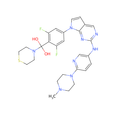 CN1CCN(c2ccc(Nc3ncc4ccn(-c5cc(F)c(C(O)(O)N6CCSCC6)c(F)c5)c4n3)cn2)CC1